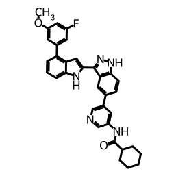 COc1cc(F)cc(-c2cccc3[nH]c(-c4n[nH]c5ccc(-c6cncc(NC(=O)C7CCCCC7)c6)cc45)cc23)c1